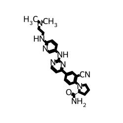 CN(C)CCNc1ccc(Nc2nccc(-c3ccc(N4CCC[C@@H]4C(N)=O)c(C#N)c3)n2)cn1